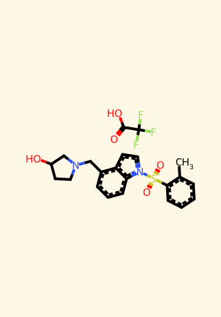 Cc1ccccc1S(=O)(=O)n1ccc2c(CN3CCC(O)C3)cccc21.O=C(O)C(F)(F)F